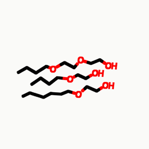 CCCCCCOCCO.CCCCOCCO.CCCCOCCOCCO